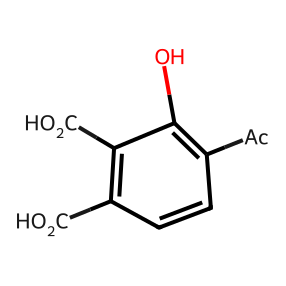 CC(=O)c1ccc(C(=O)O)c(C(=O)O)c1O